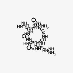 CC(=O)N[C@@H](CCCNC(=N)N)C(=O)N[C@H]1CC(=O)NCCCC[C@@H](C(N)=O)NC(=O)[C@H](Cc2c[nH]c3ccccc23)NC(=O)[C@H](CCCNC(=N)N)NC(=O)[C@@H](Cc2ccccc2)NC(=O)[C@H](Cc2c[nH]c3ccccc23)NC1=O